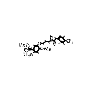 COC(=O)c1cc(OCCCNC(=O)Cc2ccc(C(F)(F)F)cc2)c(OC)cc1N